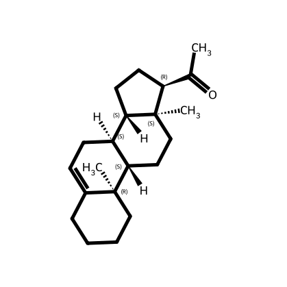 CC(=O)[C@@H]1CC[C@H]2[C@@H]3CC=C4CCCC[C@]4(C)[C@H]3CC[C@]12C